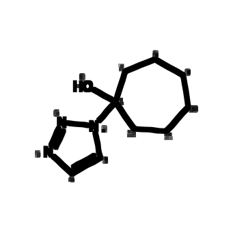 OC1(n2ccnn2)CCCCCC1